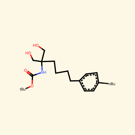 CCCCc1ccc(CCCCC(CO)(CO)NC(=O)OC(C)(C)C)cc1